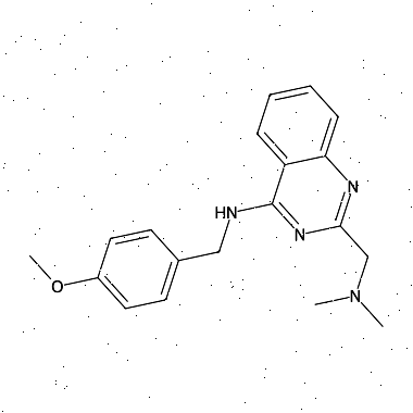 COc1ccc(CNc2nc(CN(C)C)nc3ccccc23)cc1